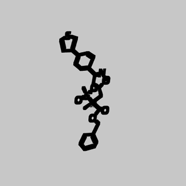 C[C@@](C[C@H]1CC(c2ccc(-c3ccsc3)cc2)=NO1)(C(=O)OCc1ccccc1)S(C)(=O)=O